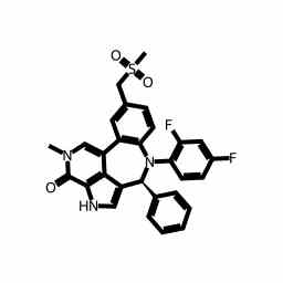 Cn1cc2c3c(c[nH]c3c1=O)[C@H](c1ccccc1)N(c1ccc(F)cc1F)c1ccc(CS(C)(=O)=O)cc1-2